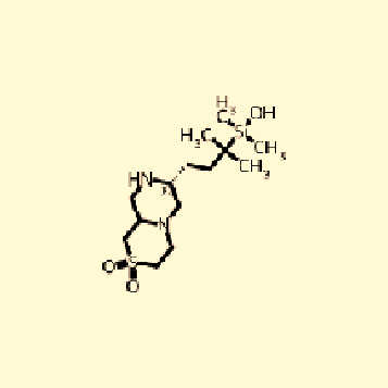 CC(C)(CC[C@@H]1CN2CCS(=O)(=O)CC2CN1)[Si](C)(C)O